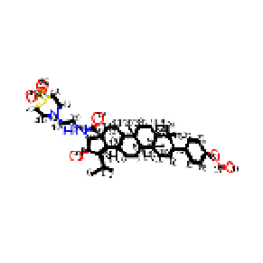 CC(C)C1=C2[C@H]3CC[C@@H]4[C@@]5(C)CC=C(C6=CCC(OC=O)CC6)C(C)(C)[C@@H]5CC[C@@]4(C)[C@]3(C)CC[C@@]2(C(=O)NCCN2CCS(=O)(=O)CC2)CC1=O